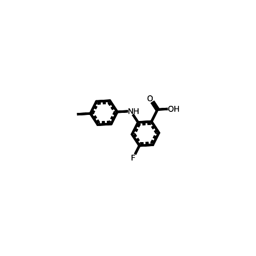 Cc1ccc(Nc2cc(F)ccc2C(=O)O)cc1